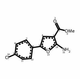 COC(=O)c1cc(-c2ccc(Cl)cc2)oc1N